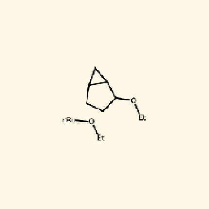 CCCCOCC.CCOC1CCC2CC21